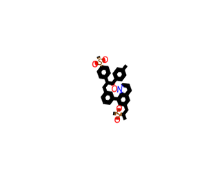 Cc1ccc(C(=O)C(Cc2cccc(-c3cc(CC(C)S(C)(=O)=O)cc4cccnc34)c2)c2ccc(S(C)(=O)=O)cc2)cc1